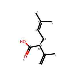 C=C(C)[C@H](CC=C(C)C)C(=O)O